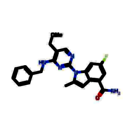 COCc1cnc(-n2c(C)cc3c(C(N)=O)cc(F)cc32)nc1NCc1ccccc1